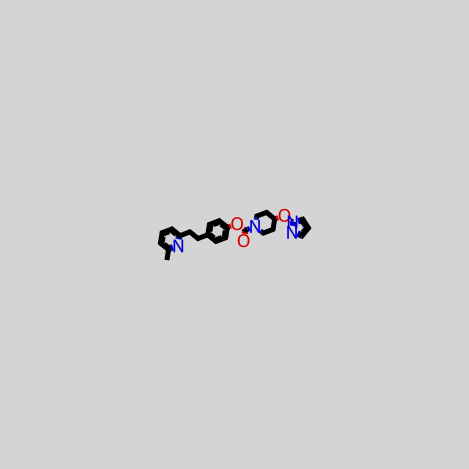 Cc1cccc(CCc2ccc(OC(=O)N3CCC(On4cccn4)CC3)cc2)n1